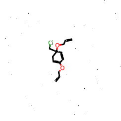 C=CCOC1=CCC(CCl)(OCC=C)C=C1